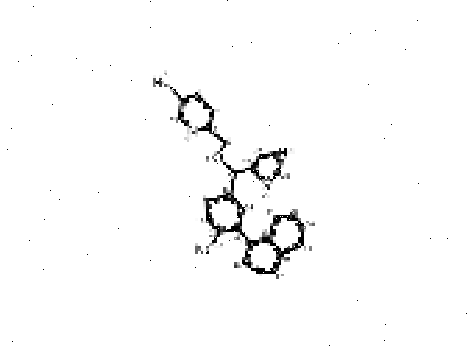 N#Cc1ccc(COC(c2ccc(C#N)c(-c3cccc4ccccc34)c2)c2cncs2)nc1